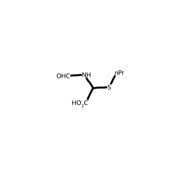 CCCSC(NC=O)C(=O)O